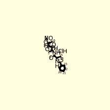 Cl.O=C(N[C@H]1CO[C@H]2[C@@H]1OC[C@@H]2O[N+](=O)[O-])C1CSC(c2ccccc2)N1